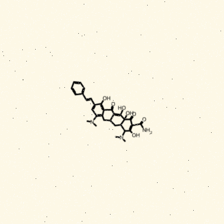 CN(C)c1cc(/C=C/c2ccccc2)c(O)c2c1CC1CC3C(N(C)C)C(O)=C(C(N)=O)C(=O)C3(O)C(O)=C1C2=O